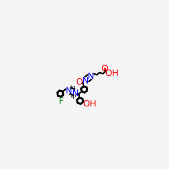 C[C@@H]1CN(C(c2cccc(O)c2)c2cccc(C(=O)N3CCN(CCCCC(=O)O)CC3)c2)[C@@H](C)CN1Cc1cccc(F)c1